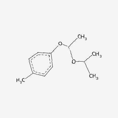 Cc1ccc(OC(C)OC(C)C)cc1